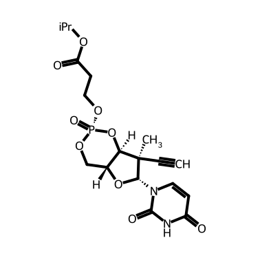 C#C[C@]1(C)[C@@H]2O[P@@](=O)(OCCC(=O)OC(C)C)OC[C@H]2O[C@H]1n1ccc(=O)[nH]c1=O